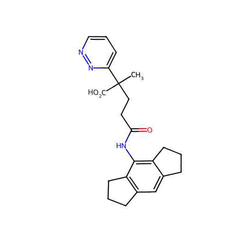 CC(CCC(=O)Nc1c2c(cc3c1CCC3)CCC2)(C(=O)O)c1cccnn1